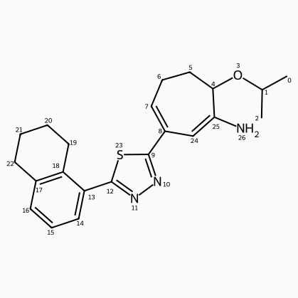 CC(C)OC1CCC=C(c2nnc(-c3cccc4c3CCCC4)s2)C=C1N